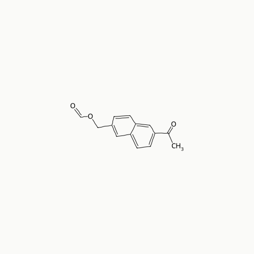 CC(=O)c1ccc2cc(COC=O)ccc2c1